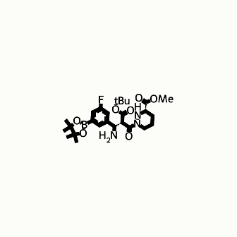 COC(=O)[C@@H]1CCCN(C(=O)[C@@H](C(=O)OC(C)(C)C)C(N)c2cc(F)cc(B3OC(C)(C)C(C)(C)O3)c2)N1